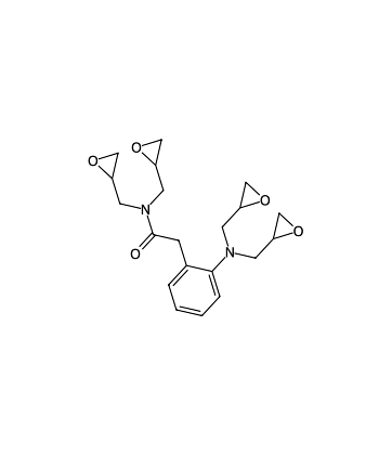 O=C(Cc1ccccc1N(CC1CO1)CC1CO1)N(CC1CO1)CC1CO1